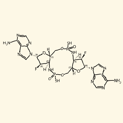 Nc1ncnc2c1ncn2[C@@H]1O[C@@H]2COP(=O)(S)N[C@H]3[C@@H](F)[C@H](n4cnc5c(N)ncnc54)O[C@@H]3COP(=O)(S)N[C@H]2[C@H]1F